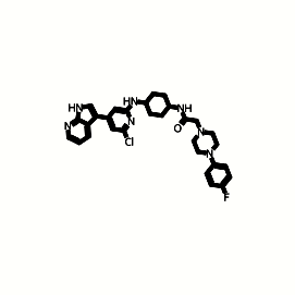 O=C(CN1CCN(c2ccc(F)cc2)CC1)NC1CCC(Nc2cc(-c3c[nH]c4ncccc34)cc(Cl)n2)CC1